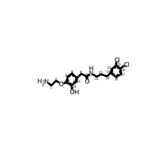 NCCOc1ccc(CC(=O)NCCCc2ccc(Cl)c(Cl)c2)cc1O